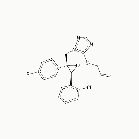 C=CCSc1ncnn1C[C@@]1(c2ccc(F)cc2)O[C@H]1c1ccccc1Cl